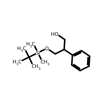 CC(C)(C)[Si](C)(C)OCC(CO)c1ccccc1